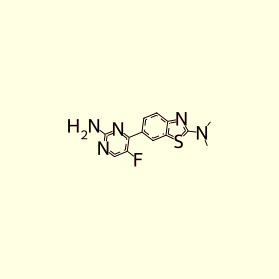 CN(C)c1nc2ccc(-c3nc(N)ncc3F)cc2s1